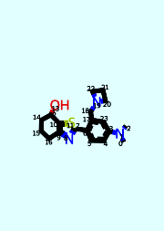 CN(C)c1ccc(-c2nc3c(s2)C(O)CCC3)c(CN2CCC2)c1